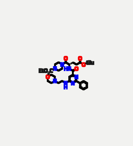 CCOC(=O)N1CCN(C(=O)[C@H](CCC(=O)OC(C)(C)C)NC(=O)c2cc(NCCN3CCOCC3)nc(-c3ccccc3)n2)CC1